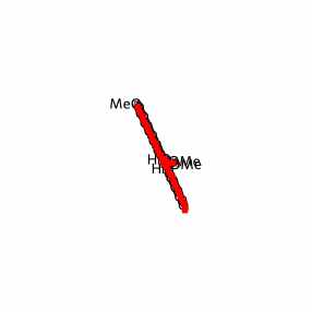 C#CCOCCOCCOCCOCCOCCOCCOCCOCCNC(=O)CN(CC(=O)NCCOCCOCCOCCOCCOCCOCCOCCOCCOCCOCCOCCOC)C(=O)CCCC(OC)OC